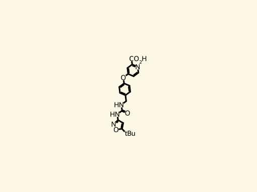 CC(C)(C)c1cc(NC(=O)NCc2ccc(Oc3ccnc(C(=O)O)c3)cc2)no1